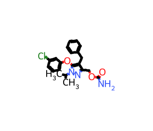 CC(C)n1nc(COC(N)=O)c(Cc2ccccc2)c1Oc1cccc(Cl)c1